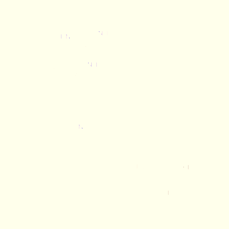 CC(C)C(C)Cc1ccc(-c2cc(C(=O)NC(=N)N)c3ccccc3n2)cc1